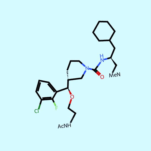 CNC[C@H](CC1CCCCC1)NC(=O)N1CCC[C@@H]([C@@H](OCCNC(C)=O)c2cccc(Cl)c2F)C1